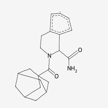 NC(=O)C1c2cc[c]cc2CCN1C(=O)C12CC3CC(CC(C3)C1)C2